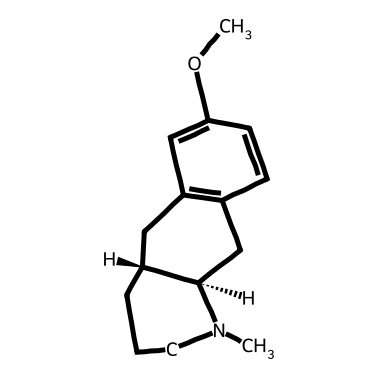 COc1ccc2c(c1)C[C@H]1CCCN(C)[C@@H]1C2